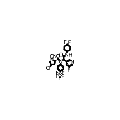 N#CN1CC(Cl)C[C@@H]1C(=O)N(c1ccc(S(F)(F)(F)(F)F)cc1)C(C(=O)NC1CCC(F)(F)CC1)c1cncc(F)c1